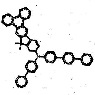 CC1(C)C2=C(C=CC(N(c3ccc(-c4ccccc4)cc3)c3ccc(-c4ccc(-c5ccccc5)cc4)cc3)C2)c2cc3c4ccccc4c4ccccc4c3cc21